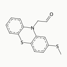 CSc1ccc2c(c1)N(CC=O)c1ccccc1S2